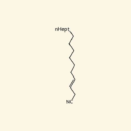 CCCCCCCCCCCCCC=CCC#N